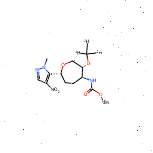 [2H]C([2H])([2H])O[C@H]1CO[C@@H](c2c([N+](=O)[O-])cnn2C)CC[C@@H]1NC(=O)OC(C)(C)C